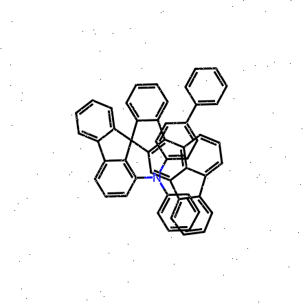 c1ccc(-c2ccc(N(c3ccccc3)c3cccc4c3C3(c5ccccc5-4)c4ccccc4-c4c3cc3c5c(cccc45)-c4ccccc4-3)cc2)cc1